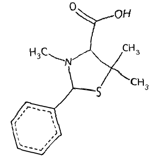 CN1C(c2ccccc2)SC(C)(C)C1C(=O)O